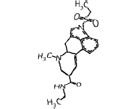 CCNC(=O)C1C=C2c3cccc4c3c(cn4S(=O)(=O)CC)CC2N(C)C1